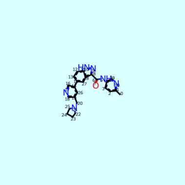 Cc1ccc(NC(=O)c2n[nH]c3ccc(-c4cncc(CN5CCCC5)c4)cc23)cn1